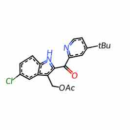 CC(=O)OCc1c(C(=O)c2cc(C(C)(C)C)ccn2)[nH]c2ccc(Cl)cc12